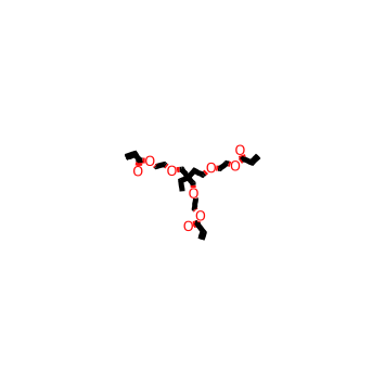 C=CC(=O)OCCOCCC(CC)(COCCOC(=O)C=C)COCCOC(=O)C=C